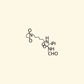 CC(C)C(NC(=O)CCCCCN1C(=O)CCC1=O)C(=O)NCC=O